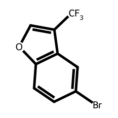 FC(F)(F)c1coc2ccc(Br)cc12